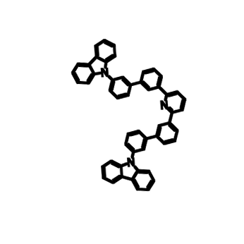 c1cc(-c2cccc(-n3c4ccccc4c4ccccc43)c2)cc(-c2cccc(-c3cccc(-c4cccc(-n5c6ccccc6c6ccccc65)c4)c3)n2)c1